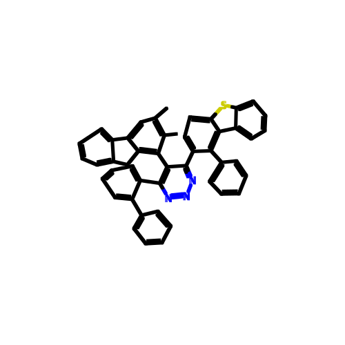 Cc1cc2c(c(-c3c(-c4ccccc4-c4ccccc4)nnnc3-c3ccc4sc5ccccc5c4c3-c3ccccc3)c1C)Cc1ccccc1-2